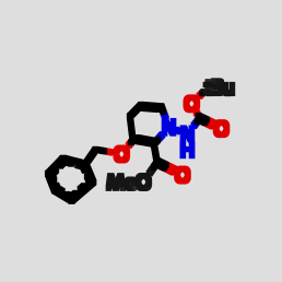 COC(=O)C1=C(OCc2ccccc2)CC=CN1NC(=O)OC(C)(C)C